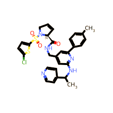 Cc1ccc(-c2cc(CNC(=O)[C@@H]3C=CCN3S(=O)(=O)c3ccc(Cl)s3)cc(NC(C)c3ccncc3)n2)cc1